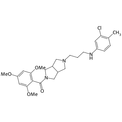 COc1cc(OC)c(C(=O)N2CC3CN(CCCNc4ccc(C)c(Cl)c4)CC3C2)c(OC)c1